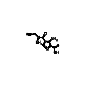 C#CCN(N)C(=O)n1cnc(C(=O)O)c1N